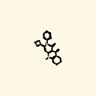 C=C1C2=C(CCCC2)N(C)C2=C1C(=C)N(c1ccccc1)C(C1CCC1)=C2